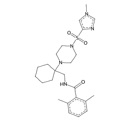 Cc1cccc(C)c1C(=O)NCC1(N2CCN(S(=O)(=O)c3cn(C)cn3)CC2)CCCCC1